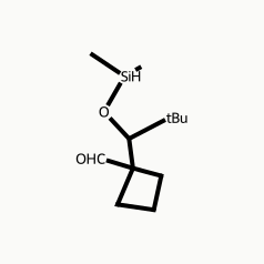 C[SiH](C)OC(C(C)(C)C)C1(C=O)CCC1